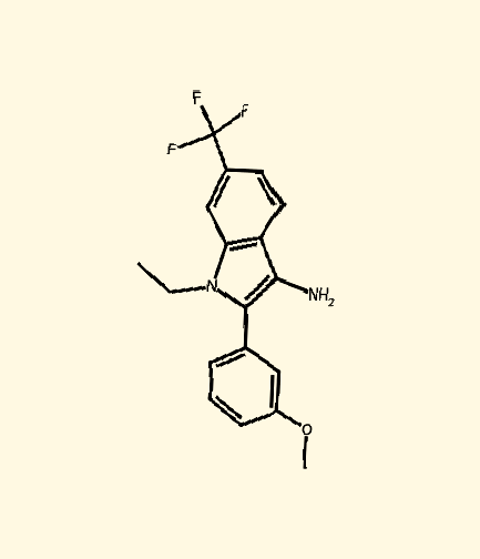 CCn1c(-c2cccc(OC)c2)c(N)c2ccc(C(F)(F)F)cc21